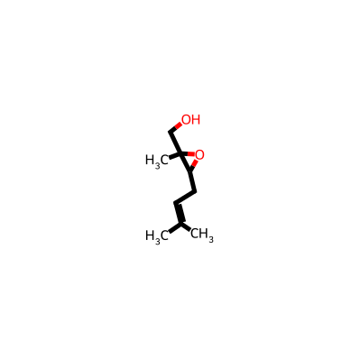 CC(C)=CCC1OC1(C)CO